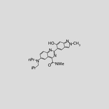 CCCN(CC(C)C)c1ccc2nc(-c3cc4cn(C)nc4cc3O)nc(C(=O)NC)c2c1